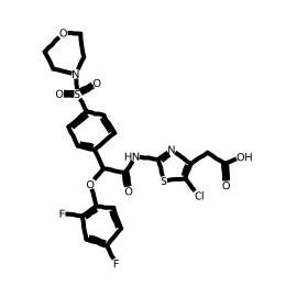 O=C(O)Cc1nc(NC(=O)C(Oc2ccc(F)cc2F)c2ccc(S(=O)(=O)N3CCOCC3)cc2)sc1Cl